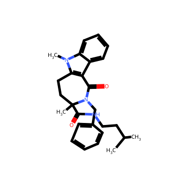 CC(C)CCNC(=O)C1(C)CCc2c(c3ccccc3n2C)C(=O)N1Cc1ccccc1